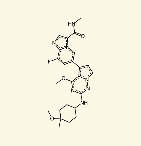 CNC(=O)c1cnc2c(F)cc(-c3ccn4nc(NC5CCC(C)(OC)CC5)nc(OC)c34)cn12